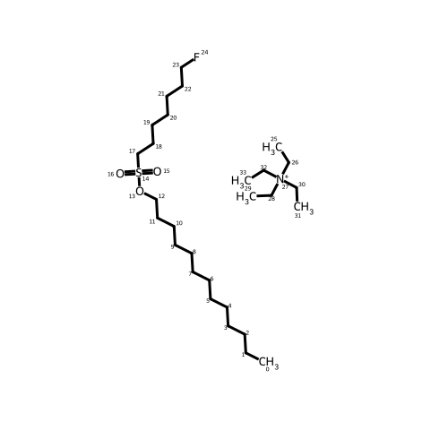 CCCCCCCCCCCCCOS(=O)(=O)CCCCCCCF.CC[N+](CC)(CC)CC